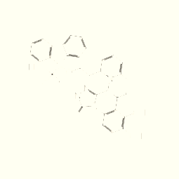 Cc1ccc(F)c(C(C)[C@@H](c2n[nH]c(=O)o2)N2C(Cl)=CC=CC2CCO[Si](c2ccccc2)(c2ccccc2)C(C)(C)C)c1C